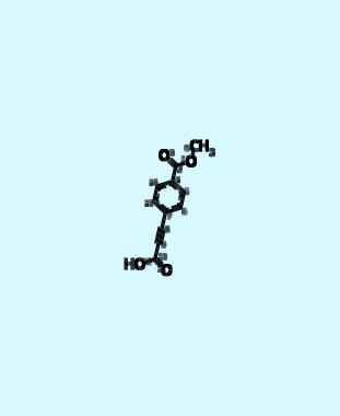 COC(=O)c1ccc(C#CC(=O)O)cc1